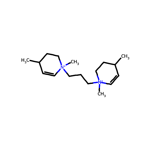 CC1C=C[N+](C)(CCC[N+]2(C)C=CC(C)CC2)CC1